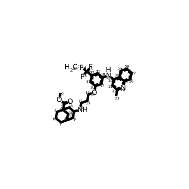 COC(=O)C12CCCC(CC(NCCCOc3cc(Nc4cc(C)nc5ccccc45)cc(C(F)(F)F)c3)C1)C2.[CH2]